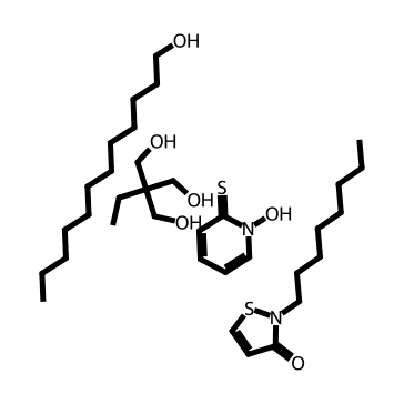 CCC(CO)(CO)CO.CCCCCCCCCCCCO.CCCCCCCCn1sccc1=O.On1ccccc1=S